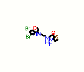 O=c1cc(NCCCNC2CCOc3c(Br)cc(Br)cc32)[nH]c2ccsc12